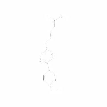 CCCCCc1ccc(-c2ccc(CCCCC(N)=O)cc2)cc1